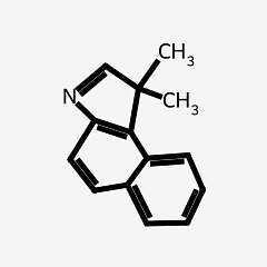 CC1(C)C=Nc2ccc3ccccc3c21